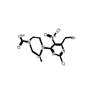 C[C@H]1CN(C(=O)O)CCN1c1nc(Cl)nc(CBr)c1[N+](=O)[O-]